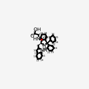 O=C(O)CNC(=O)[C@H](Cc1cc2ccccc2[nH]1)NC(c1ccccc1)(c1ccccc1)c1ccccc1